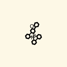 c1ccc2c(c1)B1c3cc4c(cc3-c3ccccc3N1c1ccccc1-2)oc1ccccc14